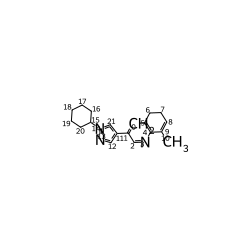 C=C(/C=N\C1=CCCC=C1C)c1cnn(C2CCCCC2)c1